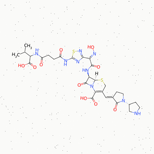 CC(C)C(NC(=O)CCC(=O)Nc1nc(/C(=N\O)C(=O)N[C@@H]2C(=O)N3C(C(=O)O)=C(/C=C4\CCN([C@@H]5CCNC5)C4=O)CS[C@H]23)ns1)C(=O)O